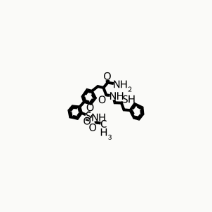 CC(=O)NS(=O)(=O)c1ccccc1-c1ccc(CC(C(N)=O)C(=O)NC[C@@H](S)Cc2ccccc2)cc1